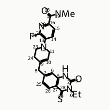 CCn1c(=O)[nH]c2cc(CC3=CCN(c4ccc(C(=O)NC)nc4F)CC3)ccc2c1=S